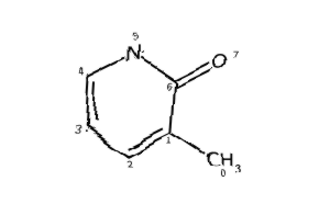 CC1=C[C]=C[N]C1=O